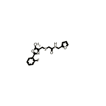 Cc1oc(-c2ccccc2F)nc1CSCC(=O)NCc1ccco1